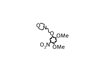 COc1cc(OC)c([N+](=O)[O-])cc1OCCN1CCOCC1